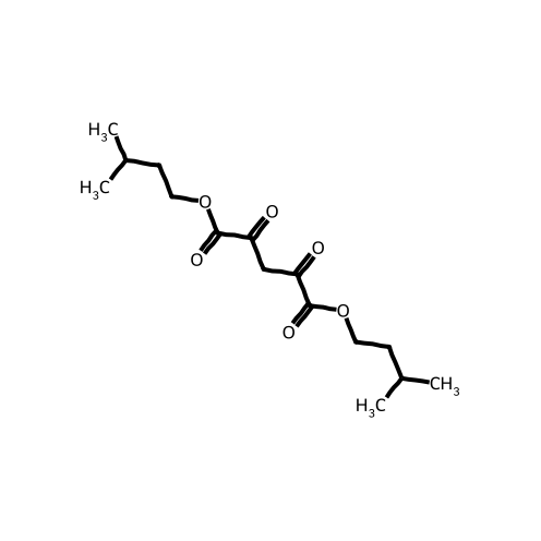 CC(C)CCOC(=O)C(=O)CC(=O)C(=O)OCCC(C)C